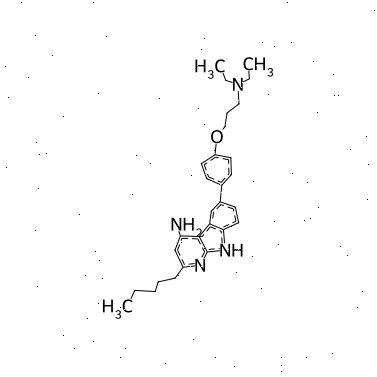 CCCCCc1cc(N)c2c(n1)[nH]c1ccc(-c3ccc(OCCCN(CC)CC)cc3)cc12